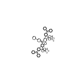 CC1(C)C2=CC3Oc4cc5c(cc4N(C4=CC=C(C6=CC=CCC6)CC4)C3C=C2c2ccc(N(c3ccccc3)c3ccccc3)cc21)-c1ccc(N(c2ccccc2)c2ccccc2)cc1C5(C)C